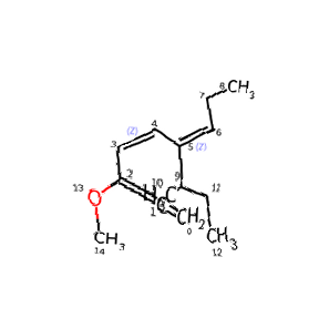 C=C=C(/C=C\C(=C/CC)C(C)CC)OC